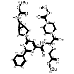 CCCCOC(=O)N1CCN(C(=O)[C@H](CCC(=O)OC(C)(C)C)NC(=O)c2cc(N3CC4C(C3)C4NC(=O)OC(C)(C)C)nc(-c3ccccc3)n2)CC1